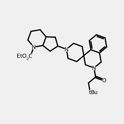 CCOC(=O)N1CCCC2CC(N3CCC4(CC3)CN(C(=O)CC(C)(C)C)Cc3ccccc34)CC21